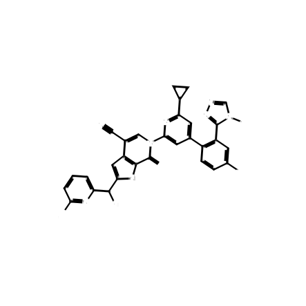 Cc1cccc(C(N)c2cc3c(C#N)cn(-c4cc(-c5ccc(F)cc5-c5nncn5C)cc(C5CC5)n4)c(=O)c3[nH]2)n1